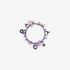 CC(C)C[C@H]1CC(=O)N[C@@H]([C@@H](C)O)CCC(=O)N(C)[C@@H](C)C(=O)CN(C)[C@@H](CC(C)C)CC(=O)CNC[C@@H](COC(C)(C)C)C(=O)N[C@H](C(=O)N2CCCCC2)C(=O)N[C@H](C)C(=O)N(C)[C@H](C)C(=O)CN(C)[C@@H](Cc2ccccc2)C(=O)N(C)C1